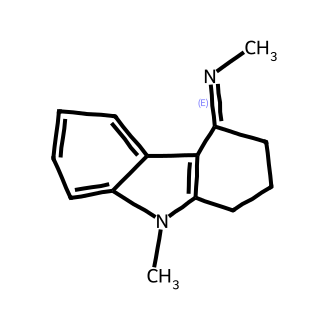 C/N=C1\CCCc2c1c1ccccc1n2C